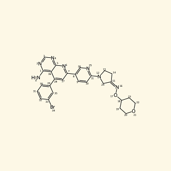 Nc1ncnc2nc(-c3ccc(N4CCC(=NOC5CCOCC5)C4)nc3)cc(-c3cccc(Br)c3)c12